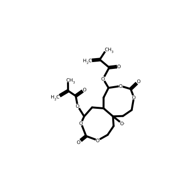 C=C(C)C(=O)OC1C[C]2CC(OC(=O)C(=C)C)OC(=O)OCCC2([O])CCOC(=O)O1